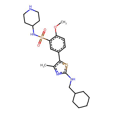 COc1ccc(-c2sc(NCC3CCCCC3)nc2C)cc1S(=O)(=O)NC1CCNCC1